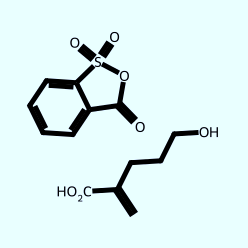 C=C(CCCO)C(=O)O.O=C1OS(=O)(=O)c2ccccc21